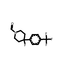 O=CN1CCC(F)(c2ccc(C(F)(F)F)cc2)CC1